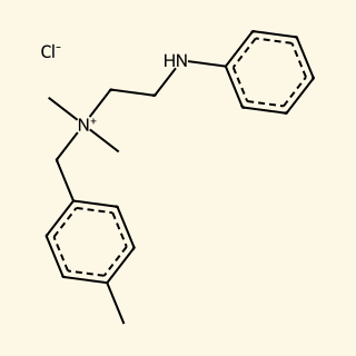 Cc1ccc(C[N+](C)(C)CCNc2ccccc2)cc1.[Cl-]